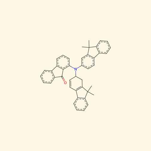 CC1(C)C2=C(C=CC(N(c3ccc4c(c3)C(C)(C)c3ccccc3-4)c3cccc4c3C(=O)c3ccccc3-4)C2)c2ccccc21